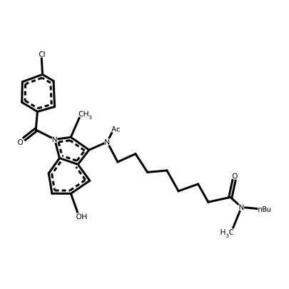 CCCCN(C)C(=O)CCCCCCCN(C(C)=O)c1c(C)n(C(=O)c2ccc(Cl)cc2)c2ccc(O)cc12